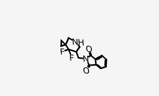 O=C1c2ccccc2C(=O)N1CC1CNCC2(CC2)C1(F)F